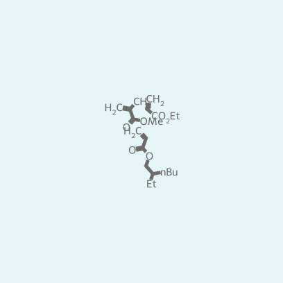 C=C(C)C(=O)OC.C=CC(=O)OCC.C=CC(=O)OCC(CC)CCCC